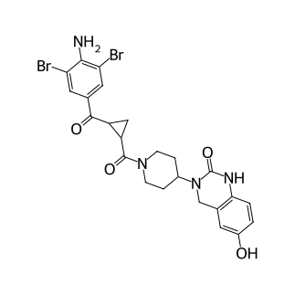 Nc1c(Br)cc(C(=O)C2CC2C(=O)N2CCC(N3Cc4cc(O)ccc4NC3=O)CC2)cc1Br